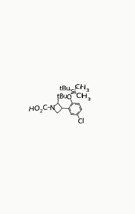 CC(C)(C)C1C(c2cc(Cl)ccc2O[Si](C)(C)C(C)(C)C)CN1C(=O)O